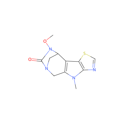 CON1C(=O)N2Cc3c(c4scnc4n3C)C1C2